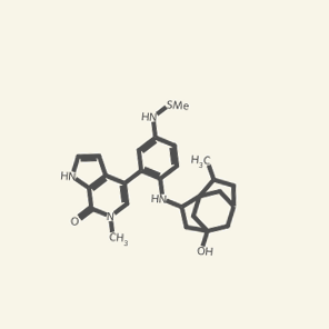 CSNc1ccc(NC2CC3(O)CC4CC(C)C2(C4)C3)c(-c2cn(C)c(=O)c3[nH]ccc23)c1